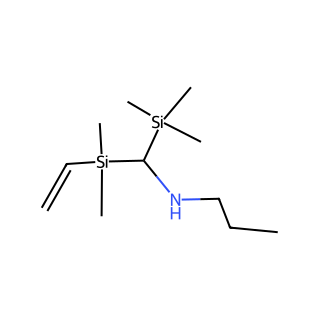 C=C[Si](C)(C)C(NCCC)[Si](C)(C)C